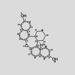 Oc1ccc2c3c(ccc2c1)Oc1ccc2cc(O)ccc2c1[C@@H]1CCCCC31